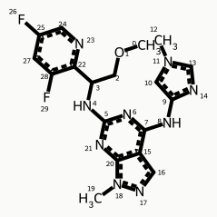 COCC(Nc1nc(Nc2cn(C)cn2)c2cnn(C)c2n1)c1ncc(F)cc1F